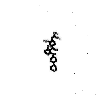 C=C(N)Oc1ccc(C(=N)c2c(N)ncnc2NC2CCC(N3CCOCC3)CC2)cc1C